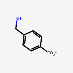 [NH]Cc1ccc(C(=O)O)cc1